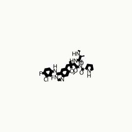 CN[C@@H](C)C(=O)N[C@H](C(=O)NC(=O)[C@@H]1CCCN1)C(C)(C)Cc1cc2c(Nc3ccc(F)c(Cl)c3F)ncnc2cc1OC